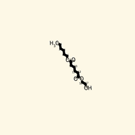 CCCCCCOC(=O)CCCCC(=O)OCCO